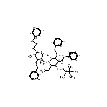 CCC1O[C@H](O[C@H]2O[C@H](COCc3ccccc3)[C@@H](O)C(OCc3ccccc3)C2C)C(OCc2ccccc2)[C@@H](OCc2ccccc2)[C@@H]1OC[C@H](O)C(C)(C)O